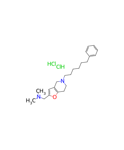 CN(C)Cc1cc2c(o1)CCN(CCCCCCc1ccccc1)C2.Cl.Cl